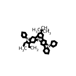 C=Cc1c(/C=C\C)n(-c2ccccc2)c2cc3c4cc(C(C)(C)C)cc5c6cc7c(cc6n(c3cc12)c45)c1ccccc1n7-c1ccccc1